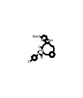 COc1ccc2[nH]c3c(c2n1)CC(=O)N[C@H](C(=O)N(C)c1ccc(Cl)cc1)Cc1cccc(c1)C/C=C/3